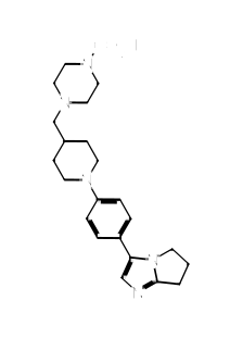 O=C(O)N1CCN(CC2CCN(c3ccc(-c4cnc5n4CCC5)cc3)CC2)CC1